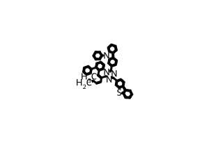 C=C/C=C\C(=C(/C)c1ccccc1-c1ccccc1)c1nc(-c2ccc3c(c2)sc2ccccc23)nc(-c2ccc3c4ccccc4n(-c4ccccc4)c3c2)n1